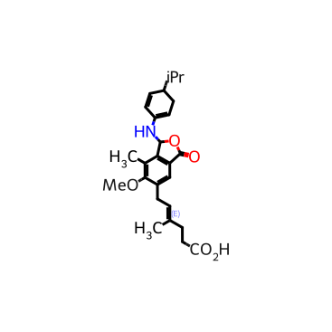 COc1c(C/C=C(\C)CCC(=O)O)cc2c(c1C)C(NC1=CCC(C(C)C)C=C1)OC2=O